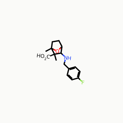 CC12CCC(O1)C(NCc1ccc(F)cc1)C2(C)C(=O)O